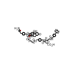 CN(CCN(C)C(=O)OCc1ccc(NC(=O)[C@H](CCC(=O)O)NC(=O)CNC(=O)Cc2ccc(-c3nncnn3)cc2)cc1)C(=O)OCC(=O)[C@@]12O[C@H](c3ccc(CC45CC(N)(C4)C5)cc3)O[C@@H]1C[C@H]1[C@@H]3CCC4=CC(=O)C=C[C@]4(C)[C@H]3[C@@H](O)C[C@@]12C